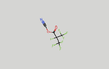 N#COC(=O)C(F)(C(F)(F)F)C(F)(F)F